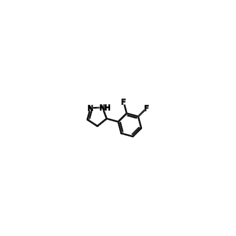 Fc1cccc(C2CC=NN2)c1F